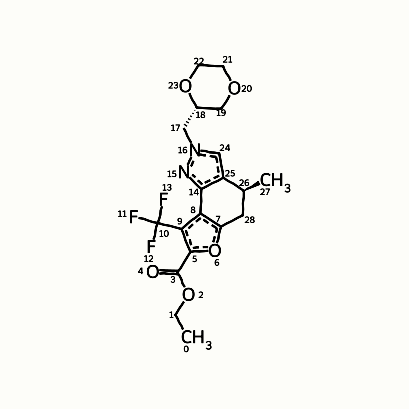 CCOC(=O)c1oc2c(c1C(F)(F)F)-c1nn(C[C@H]3COCCO3)cc1[C@@H](C)C2